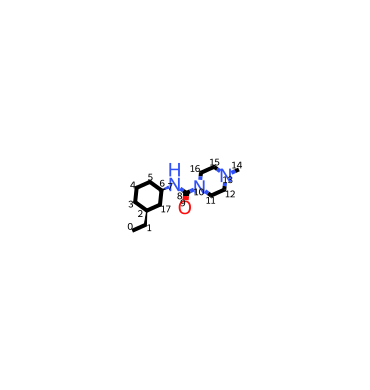 CC[C@H]1CCC[C@@H](NC(=O)N2CCN(C)CC2)C1